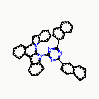 c1ccc2cc(-c3nc(-c4ccc5ccccc5c4)nc(-n4c5ccccc5c5c6ccccc6c6cc7ccccc7n6c54)n3)ccc2c1